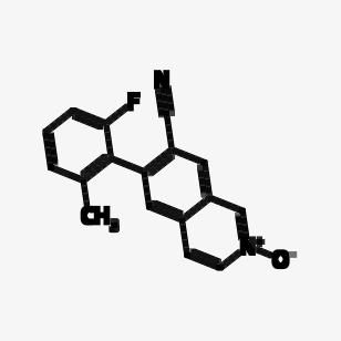 Cc1cccc(F)c1-c1cc2cc[n+]([O-])cc2cc1C#N